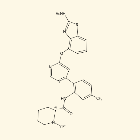 CCCN1CCCC[C@@H]1C(=O)Nc1cc(C(F)(F)F)ccc1-c1cc(Oc2cccc3sc(NC(C)=O)nc23)ncn1